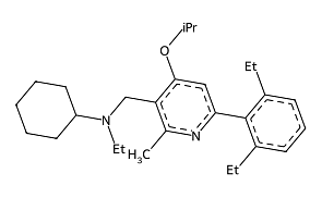 CCc1cccc(CC)c1-c1cc(OC(C)C)c(CN(CC)C2CCCCC2)c(C)n1